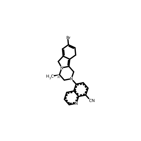 C[C@@H]1CN(c2ccc(C#N)c3ncccc23)CC2=C3CC=C(Br)C=C3CN21